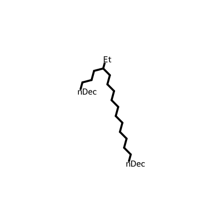 [CH2]CC(CCCCCCCCCCCCC)CCCCCCCCCCCCCCCCCCCCC